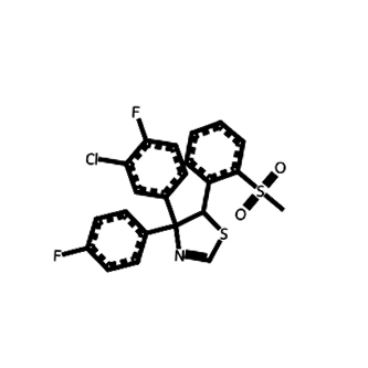 CS(=O)(=O)c1ccccc1C1SC=NC1(c1ccc(F)cc1)c1ccc(F)c(Cl)c1